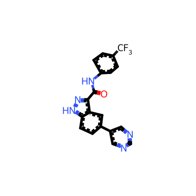 O=C(Nc1ccc(C(F)(F)F)cc1)c1n[nH]c2ccc(-c3cncnc3)cc12